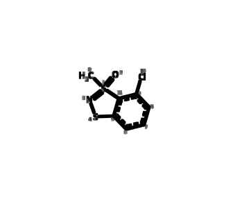 CS1(=O)=NSc2cccc(Cl)c21